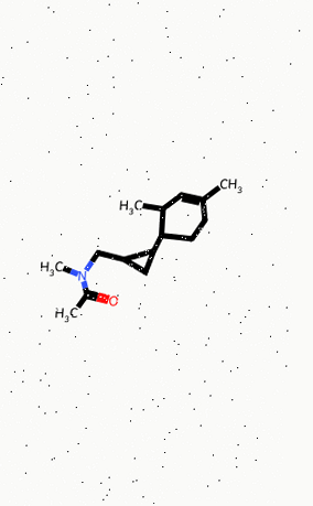 CC(=O)N(C)CC1CC1C1CCC(C)=CC1C